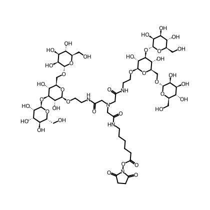 O=C(CN(CC(=O)NCCO[C@@H]1O[C@H](CO[C@H]2O[C@H](CO)[C@@H](O)[C@H](O)[C@@H]2O)[C@@H](O)[C@H](O[C@H]2O[C@H](CO)[C@@H](O)[C@H](O)[C@@H]2O)[C@H]1O)CC(=O)NCCO[C@@H]1O[C@H](CO[C@H]2O[C@H](CO)[C@@H](O)[C@H](O)[C@@H]2O)[C@@H](O)[C@H](O[C@H]2O[C@H](CO)[C@@H](O)[C@H](O)[C@@H]2O)[C@H]1O)NCCCCCC(=O)ON1C(=O)CCC1=O